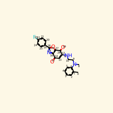 Cc1ccccc1N(C)CCNC1=CC(=O)c2nc(-c3ccc(F)cc3)oc2C1=O